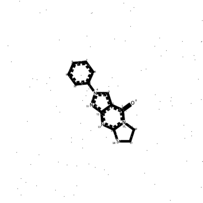 O=c1c2cn(-c3ccccc3)nc2nc2n1CCS2